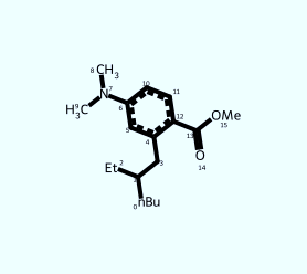 CCCCC(CC)Cc1cc(N(C)C)ccc1C(=O)OC